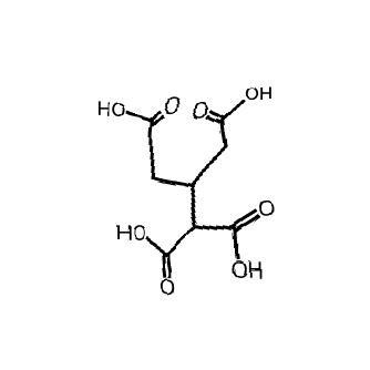 O=C(O)CC(CC(=O)O)C(C(=O)O)C(=O)O